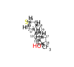 C[C@]12C[C@H]3S[C@H]3C[C@@H]1CC[C@@H]1[C@@H]2CC[C@@]2(C)[C@H]1CC[C@@]2(O)C(F)(F)F